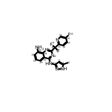 Cc1cc(Nc2nc(C(F)(F)c3ccc(F)cn3)nc3c(N)cccc23)n[nH]1